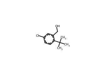 CC(C)(C)c1ccc(Cl)cc1CO